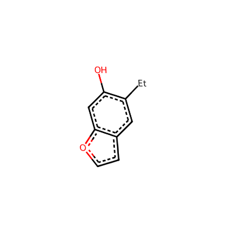 CCc1cc2ccoc2cc1O